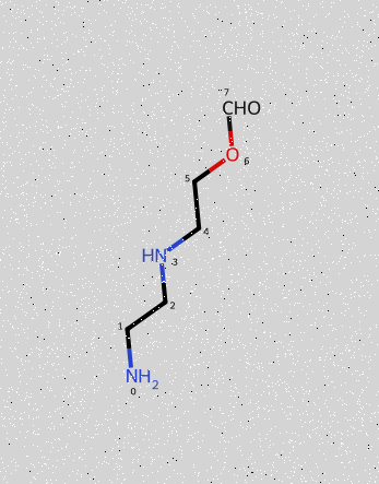 NCCNCCOC=O